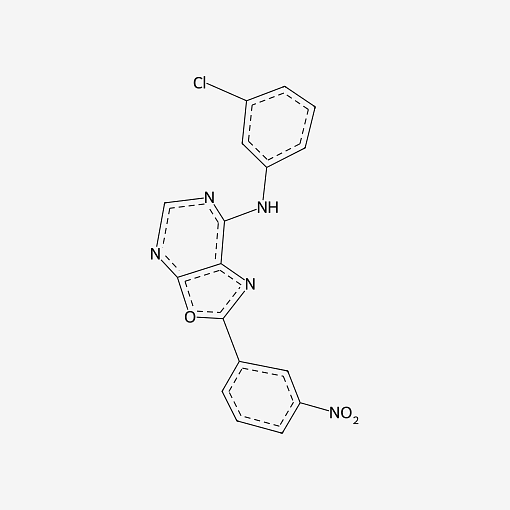 O=[N+]([O-])c1cccc(-c2nc3c(Nc4cccc(Cl)c4)ncnc3o2)c1